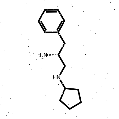 N[C@@H](CNC1CCCC1)Cc1ccccc1